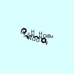 CC(C)COc1cc(F)ccc1NC(=O)CC(=O)Nc1ncc(Sc2ccccn2)s1